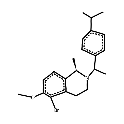 COc1ccc2c(c1Br)CCN(C(C)c1ccc(C(C)C)cc1)[C@@H]2C